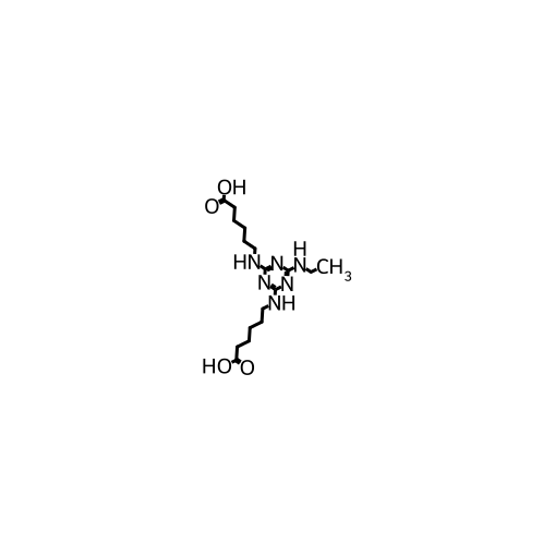 CCNc1nc(NCCCCCC(=O)O)nc(NCCCCCC(=O)O)n1